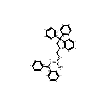 OB(OCCCC(c1ccccc1)(c1ccccc1)c1ccccc1)O[I+](c1ccccc1)c1ccccc1